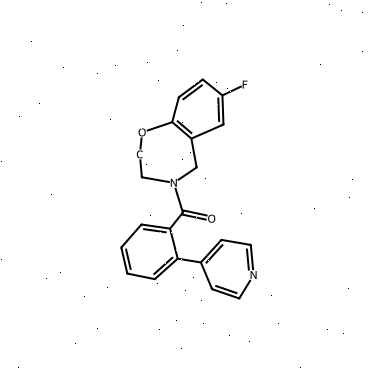 O=C(c1ccccc1-c1ccncc1)N1CCOc2ccc(F)cc2C1